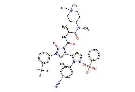 Cc1c(-c2ccnn2-c2ccc(C#N)cc2)n(C(=O)N[C@@H](C)C(=O)N(C)C2CC[N+](C)(C)CC2)c(=O)n1-c1cccc(C(F)(F)F)c1.O=S(=O)([O-])c1ccccc1